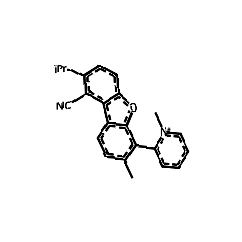 Cc1ccc2c(oc3ccc(C(C)C)c(C#N)c32)c1-c1cccc[n+]1C